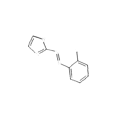 Clc1ccccc1/N=N/c1ncc[nH]1